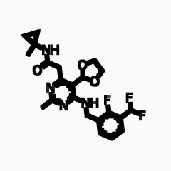 Cc1nc(CC(=O)NC2(C)CC2)c(C2OCCO2)c(NCc2cccc(C(F)F)c2F)n1